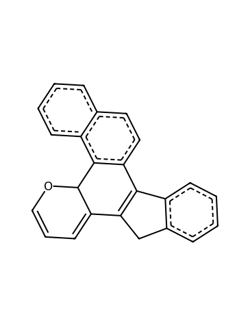 C1=COC2C(=C1)C1=C(c3ccccc3C1)c1ccc3ccccc3c12